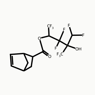 O=C(OC(C(F)(F)F)C(F)(F)C(O)(C(F)F)C(F)(F)F)C1CC2C=CC1C2